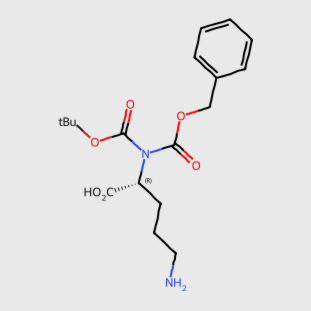 CC(C)(C)OC(=O)N(C(=O)OCc1ccccc1)[C@H](CCCN)C(=O)O